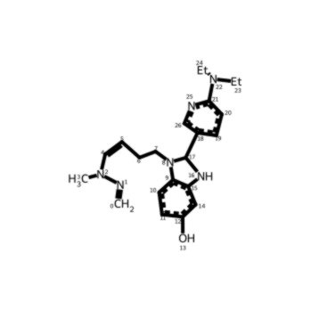 C=NN(C)/C=C\CCN1c2ccc(O)cc2NC1c1ccc(N(CC)CC)nc1